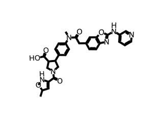 CC1C=C(C(=O)N2CC(C(=O)O)C(c3ccc(N(C)C(=O)Cc4ccc5nc(Nc6cccnc6)oc5c4)cc3)C2)NO1